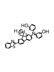 CCC1(CC)c2cc(-c3nc4ccccc4s3)ccc2-c2ccc(N(c3cccc(O)c3)c3cccc(O)c3)cc21